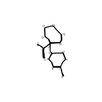 C=C(C)C1(C2CCC(C)CC2)CCCCC1